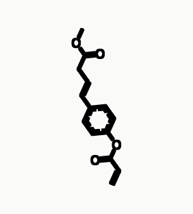 C=CC(=O)Oc1ccc(/C=C/CC(=O)OC)cc1